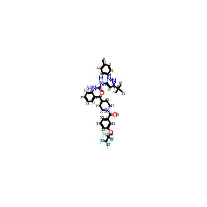 Cc1ccc(-n2nc(C(C)(C)C)cc2NC(=O)Nc2ccccc2CC2CCN(C(=O)c3cccc(OC(F)(F)C(F)F)c3)CC2)cc1